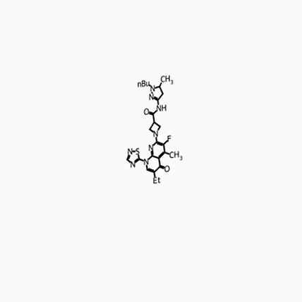 CCCCN1N=C(NC(=O)C2CN(c3nc4c(c(C)c3F)c(=O)c(CC)cn4-c3ncns3)C2)CC1C